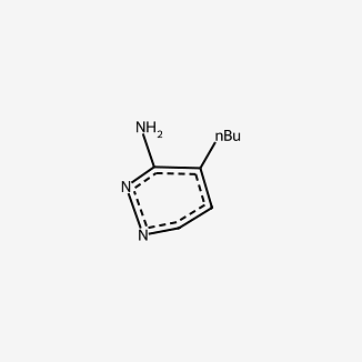 CCCCc1ccnnc1N